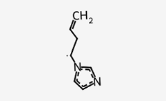 C=CC[CH]n1ccnc1